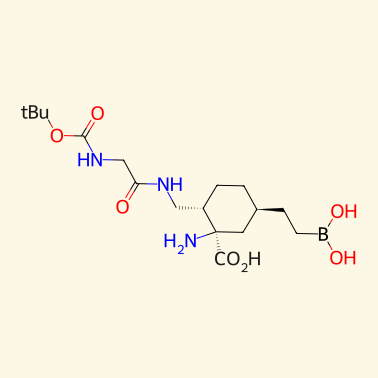 CC(C)(C)OC(=O)NCC(=O)NC[C@@H]1CC[C@@H](CCB(O)O)C[C@]1(N)C(=O)O